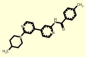 Cc1ccc(C(=O)Nc2cc(-c3ccnc(N4CCC(C)CC4)c3)ccn2)cc1